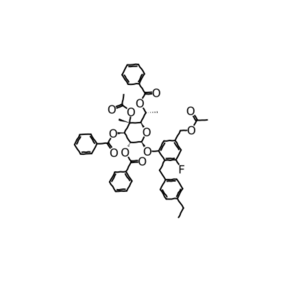 CCc1ccc(Cc2c(F)cc(COC(C)=O)cc2O[C@@H]2O[C@H]([C@@H](C)OC(=O)c3ccccc3)[C@@](C)(OC(C)=O)[C@H](OC(=O)c3ccccc3)[C@H]2OC(=O)c2ccccc2)cc1